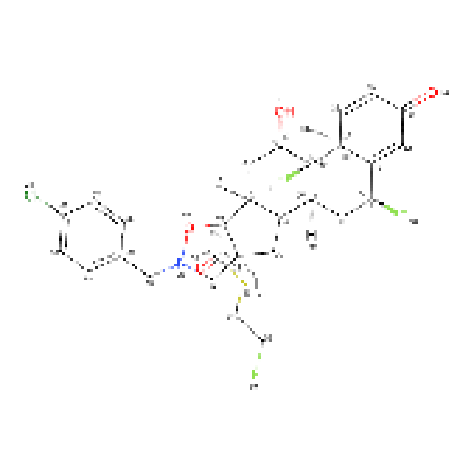 CC12C[C@H](O)[C@@]3(F)[C@@H](C[C@H](F)C4=CC(=O)C=C[C@@]43C)C1C[C@H]1CN(Cc3ccc(Cl)cc3)O[C@]12C(=O)SCCF